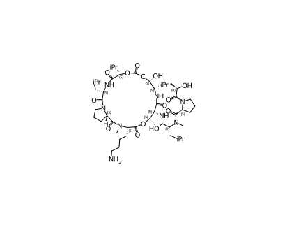 CC(C)C[C@@H]1NC(=O)[C@H](C(C)C)OC(=O)C[C@H](O)[C@H](C(C)C)NC(=O)[C@H](NC(O)[C@@H](CC(C)C)N(C)C(=O)[C@@H]2CCCN2C(=O)[C@@H](C)O)[C@H](C)OC(=O)[C@H](CCCCN)N(C)C(=O)[C@@H]2CCCN2C1=O